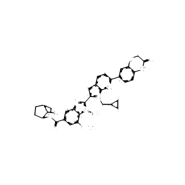 COc1cc(C(=O)N2CC3CCC2C3N)cc2nc(-c3cc4ccc(-c5ccc6c(c5)OCC(=O)N6)nc4n3CC3CC3)n(C)c12